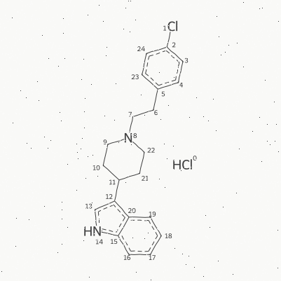 Cl.Clc1ccc(CCN2CCC(c3c[nH]c4ccccc34)CC2)cc1